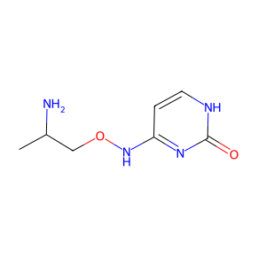 CC(N)CONc1cc[nH]c(=O)n1